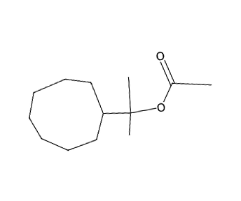 CC(=O)OC(C)(C)C1CCCCCCC1